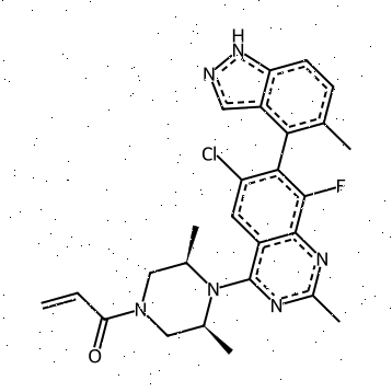 C=CC(=O)N1C[C@@H](C)N(c2nc(C)nc3c(F)c(-c4c(C)ccc5[nH]ncc45)c(Cl)cc23)[C@@H](C)C1